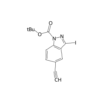 C#Cc1ccc2c(c1)c(I)nn2C(=O)OC(C)(C)C